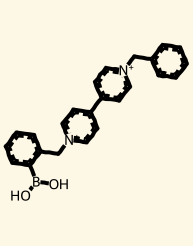 OB(O)c1ccccc1C[n+]1ccc(-c2cc[n+](Cc3ccccc3)cc2)cc1